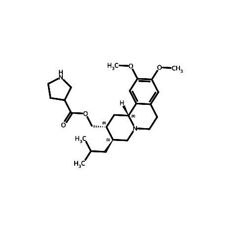 COc1cc2c(cc1OC)[C@H]1C[C@@H](COC(=O)C3CCNC3)[C@H](CC(C)C)CN1CC2